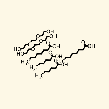 CCCCCC(=O)O.CCCCCC(=O)O.CCCCCCCC(=O)O.CCCCCCCC(=O)O.OCCOCCOCCO.OCCOCCOCCO